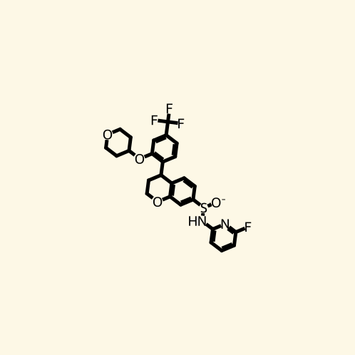 [O-][S+](Nc1cccc(F)n1)c1ccc2c(c1)OCCC2c1ccc(C(F)(F)F)cc1OC1CCOCC1